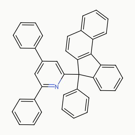 c1ccc(-c2cc(-c3ccccc3)nc(C3(c4ccccc4)c4ccccc4-c4c3ccc3ccccc43)c2)cc1